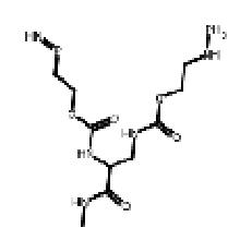 CNC(=O)C(CNC(=O)OCCNP)NC(=O)OCCP=N